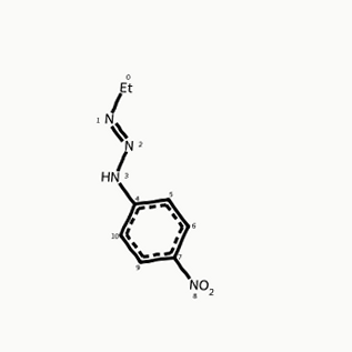 CCN=NNc1ccc([N+](=O)[O-])cc1